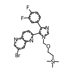 C[Si](C)(C)CCOCn1cnc(-c2ccc(F)c(F)c2)c1-c1ccc2ncc(Br)cc2n1